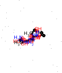 COc1cc(CC[C@H](C)C(=O)N[C@H](C(=O)N2CC[C@H](O)[C@H]2C(=O)NC[C@H](O)C[C@H](N)C(=O)N[C@H](C(=O)N2C[C@H](O)C[C@H]2C(N)=O)[C@@H](C)O)[C@H](O)CCNC(=O)OCC2c3ccccc3-c3ccccc32)ccc1O